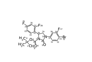 CC(C)(C)OC(=O)N1C(=O)N(c2ccc(Br)c(F)c2)CC1c1ccc(F)cc1F